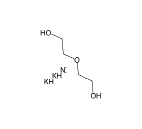 OCCOCCO.[KH].[KH].[N]